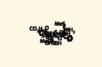 CO/N=C(\C(=O)N[C@@H]1C(=O)N2C(C(=O)O)=CCS[C@@H]12)c1csc(NC(=O)[C@H](Cc2ccccc2)NC(=O)[C@@H](N)CCSC)n1.O=CO